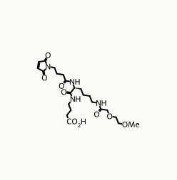 COCCOCC(=O)NCCCC[C@H](NC(=O)CCCN1C(=O)C=CC1=O)C(=O)NCCCC(=O)O